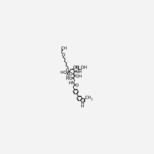 C#CCOCCCCCCO[C@]1(C(=O)O)C[C@H](O)[C@@H](NC(=O)CO)[C@H]([C@H](O)[C@H](O)CNC(=O)Cc2ccc(-c3ccc4[nH]cc(C)c4c3)cc2)O1